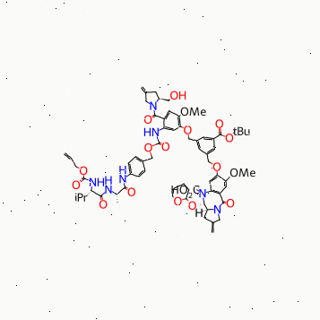 C=CCOC(=O)N[C@H](C(=O)N[C@@H](C)C(=O)Nc1ccc(COC(=O)Nc2cc(OCc3cc(COc4cc5c(cc4OC)C(=O)N4CC(=C)C[C@H]4[C@H](OC4CCCCO4)N5C(=O)O)cc(C(=O)OC(C)(C)C)c3)c(OC)cc2C(=O)N2CC(=C)C[C@H]2CO)cc1)C(C)C